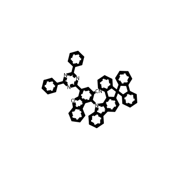 N#Cc1cc(-c2nc(-c3ccccc3)nc(-c3ccccc3)n2)c2oc3ccccc3c2c1-n1c2ccccc2c2ccc3c(c21)-c1ccccc1C31c2ccccc2-c2ccccc21